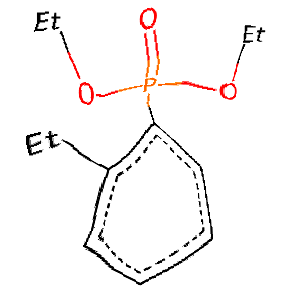 CCOP(=O)(OCC)c1ccccc1CC